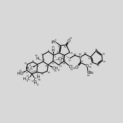 CC(C)C1=C2[C@H]3CC[C@@H]4[C@@]5(C)CC[C@H](O)C(C)(C)[C@@H]5CC[C@@]4(C)[C@]3(C)CC(Cl)[C@]2(CCN(Cc2ccccc2)C(=O)OC(C)(C)C)CC1=O